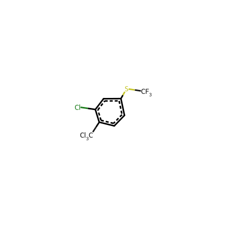 FC(F)(F)Sc1ccc(C(Cl)(Cl)Cl)c(Cl)c1